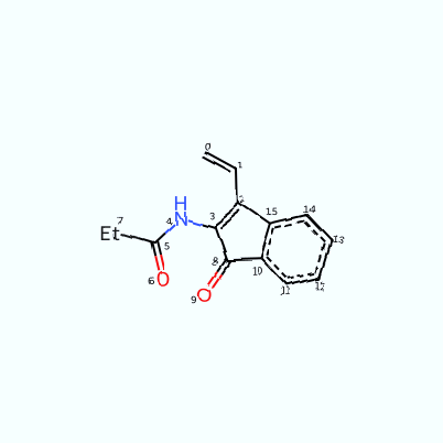 C=CC1=C(NC(=O)CC)C(=O)c2ccccc21